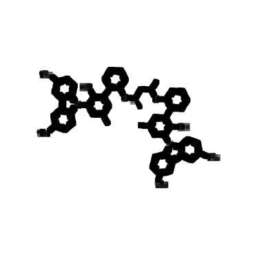 Cc1cc(-c2ccccc2OC(C)C[C@@H](C)Oc2ccccc2-c2cc(C)cc(-n3c4ccc(C(C)(C)C)cc4c4cc(C(C)(C)C)ccc43)c2O)c(O)c(-n2c3ccc(C(C)(C)C)cc3c3cc(C(C)(C)C)ccc32)c1